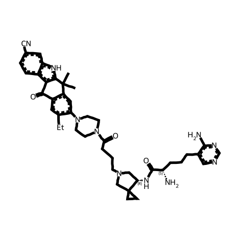 CCc1cc2c(cc1N1CCN(C(=O)CCCN3C[C@H](NC(=O)[C@@H](N)CCCc4cncnc4N)C4(CC4)C3)CC1)C(C)(C)c1[nH]c3cc(C#N)ccc3c1C2=O